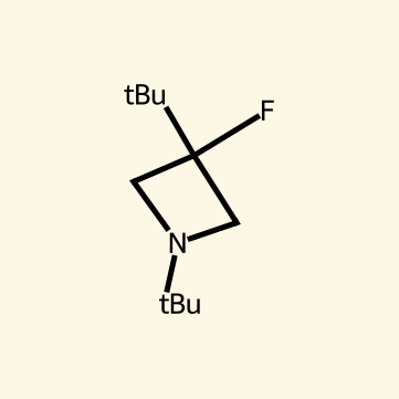 CC(C)(C)N1CC(F)(C(C)(C)C)C1